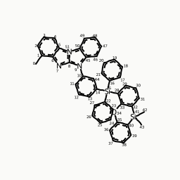 Cc1cccc2c1nc1n(-c3cccc([Si](c4ccccc4)(c4ccccc4)c4cccc5c4Oc4ccccc4[Si]5(C)C)c3)c3ccccc3n21